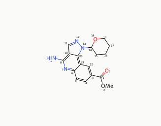 COC(=O)c1ccc2nc(N)c3cnn(C4CCCCO4)c3c2c1